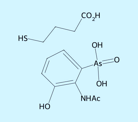 CC(=O)Nc1c(O)cccc1[As](=O)(O)O.O=C(O)CCCS